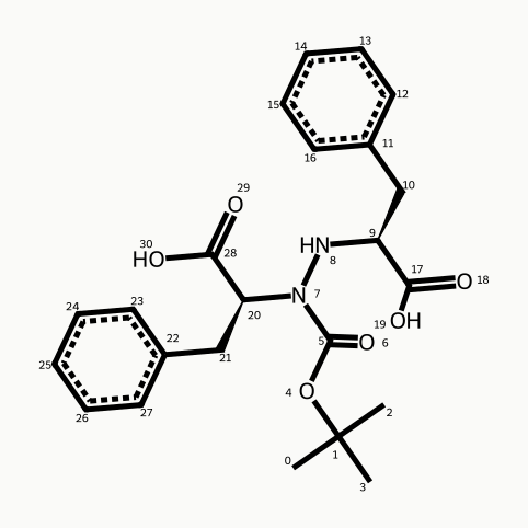 CC(C)(C)OC(=O)N(N[C@@H](Cc1ccccc1)C(=O)O)[C@@H](Cc1ccccc1)C(=O)O